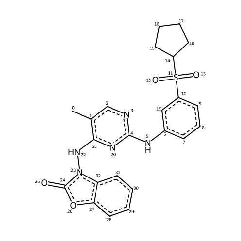 Cc1cnc(Nc2cccc(S(=O)(=O)C3CCCC3)c2)nc1Nn1c(=O)oc2ccccc21